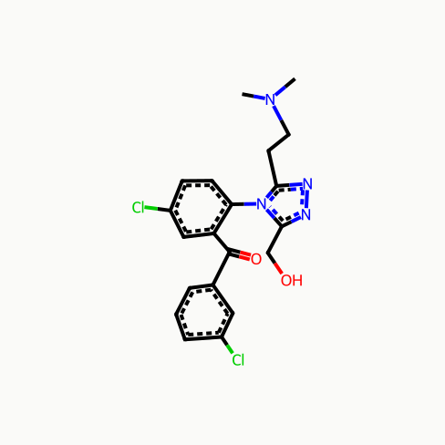 CN(C)CCc1nnc(CO)n1-c1ccc(Cl)cc1C(=O)c1cccc(Cl)c1